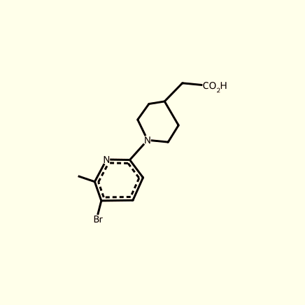 Cc1nc(N2CCC(CC(=O)O)CC2)ccc1Br